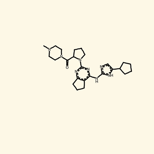 CN1CCN(C(=O)C2CCCN2c2nc3c(c(Nc4ncc(C5CCCC5)[nH]4)n2)CCC3)CC1